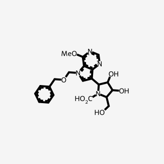 COc1ncnc2c(C3C(O)C(O)C(CO)N3C(=O)O)cn(COCc3ccccc3)c12